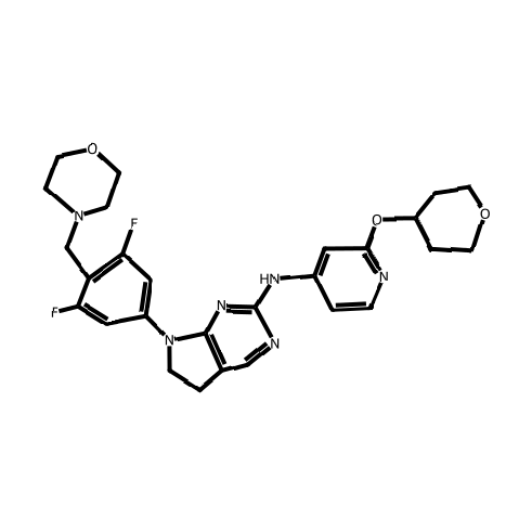 Fc1cc(N2CCc3cnc(Nc4ccnc(OC5CCOCC5)c4)nc32)cc(F)c1CN1CCOCC1